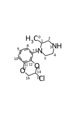 CC1CNCCN1c1cccc2c1OC(Cl)CO2